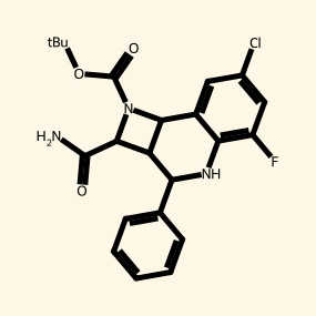 CC(C)(C)OC(=O)N1C(C(N)=O)C2C(c3ccccc3)Nc3c(F)cc(Cl)cc3C21